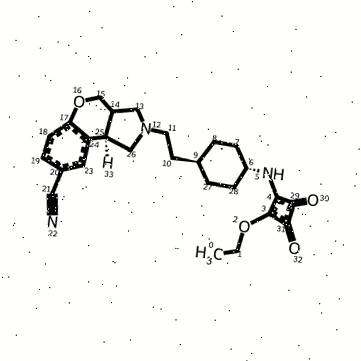 CCOc1c(N[C@H]2CC[C@H](CCN3CC4COc5ccc(C#N)cc5[C@@H]4C3)CC2)c(=O)c1=O